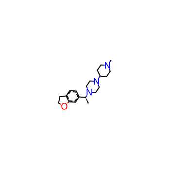 C[C@@H](c1ccc2c(c1)OCC2)N1CCN(C2CCN(C)CC2)CC1